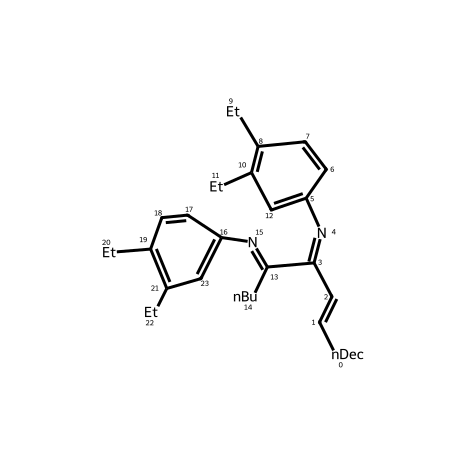 CCCCCCCCCCC=CC(=Nc1ccc(CC)c(CC)c1)C(CCCC)=Nc1ccc(CC)c(CC)c1